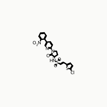 O=C1[C@@H](NS(=O)(=O)C=Cc2ccc(Cl)s2)CCN1c1ccc(-c2ccccc2[N+](=O)[O-])cn1